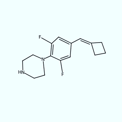 Fc1cc(C=C2CCC2)cc(F)c1N1CCNCC1